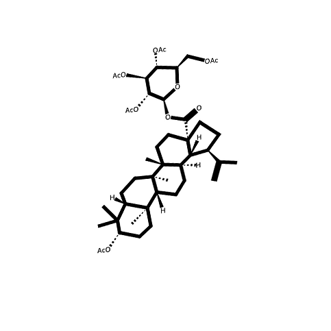 C=C(C)[C@@H]1CC[C@]2(C(=O)O[C@@H]3O[C@H](COC(C)=O)[C@@H](OC(C)=O)[C@H](OC(C)=O)[C@H]3OC(C)=O)CC[C@]3(C)[C@H](CC[C@@H]4[C@@]5(C)CC[C@H](OC(C)=O)C(C)(C)[C@@H]5CC[C@]43C)[C@@H]12